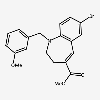 COC(=O)C1=Cc2cc(Br)ccc2N(Cc2cccc(OC)c2)CC1